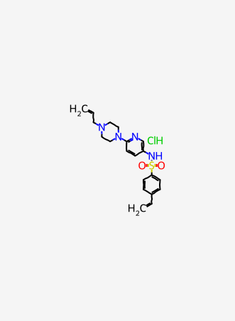 C=CCN1CCN(c2ccc(NS(=O)(=O)c3ccc(C=C)cc3)cn2)CC1.Cl